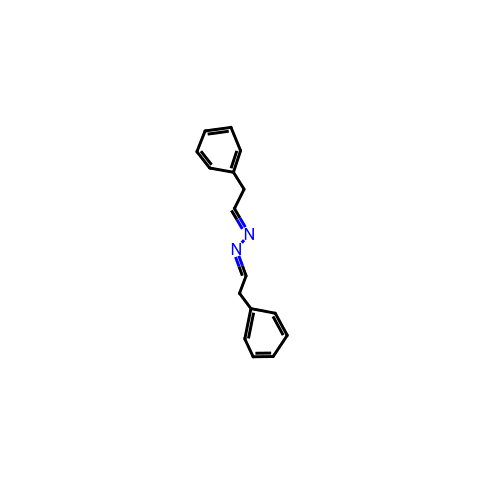 C(/Cc1ccccc1)=N\N=C\Cc1ccccc1